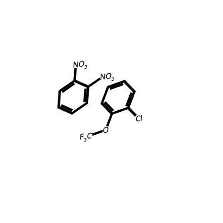 FC(F)(F)Oc1ccccc1Cl.O=[N+]([O-])c1ccccc1[N+](=O)[O-]